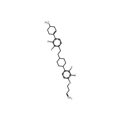 C=CCCOc1ccc(C2CCC(CCc3ccc(C4=CCC(C)CC4)c(F)c3F)CC2)c(F)c1F